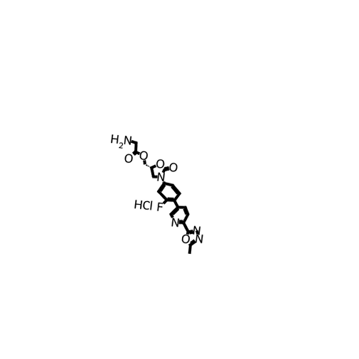 Cc1nnc(-c2ccc(-c3ccc(N4C[C@H](COC(=O)CN)OC4=O)cc3F)cn2)o1.Cl